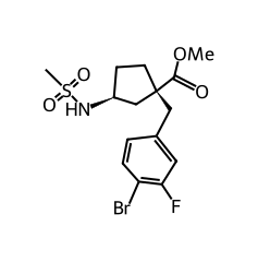 COC(=O)[C@@]1(Cc2ccc(Br)c(F)c2)CC[C@H](NS(C)(=O)=O)C1